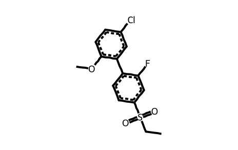 CCS(=O)(=O)c1ccc(-c2cc(Cl)ccc2OC)c(F)c1